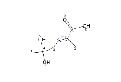 C/C(=C\CC(C)(O)O)C(=O)O